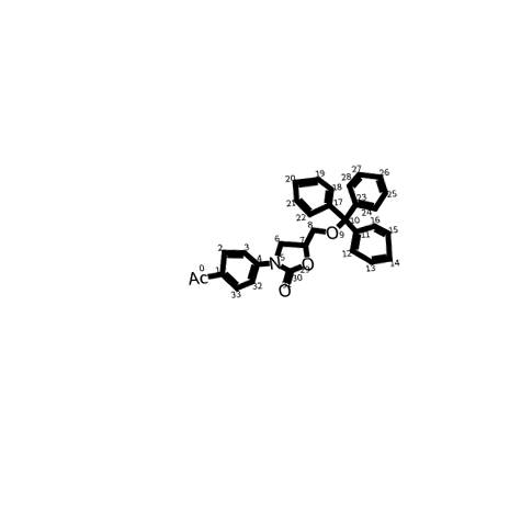 CC(=O)c1ccc(N2CC(COC(c3ccccc3)(c3ccccc3)c3ccccc3)OC2=O)cc1